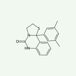 Cc1cc(C)cc(C23SCCN2C(=O)Nc2ccccc23)c1